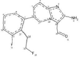 Nc1nc2ccc(-c3cccc(F)c3CCF)cn2c1C=O